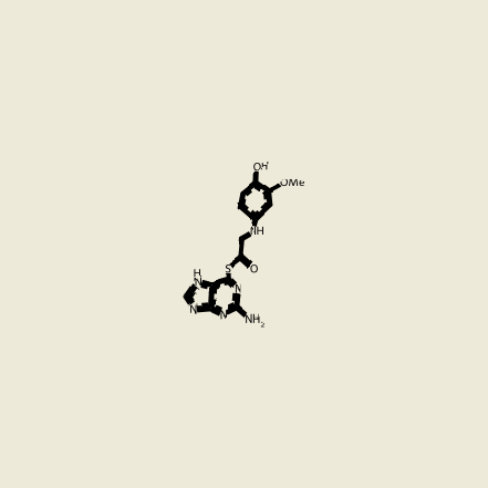 COc1cc(NCC(=O)Sc2nc(N)nc3nc[nH]c23)ccc1O